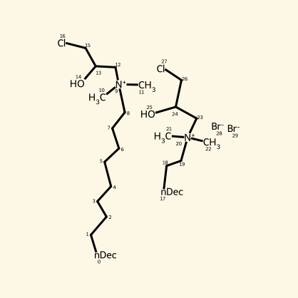 CCCCCCCCCCCCCCCCCC[N+](C)(C)CC(O)CCl.CCCCCCCCCCCC[N+](C)(C)CC(O)CCl.[Br-].[Br-]